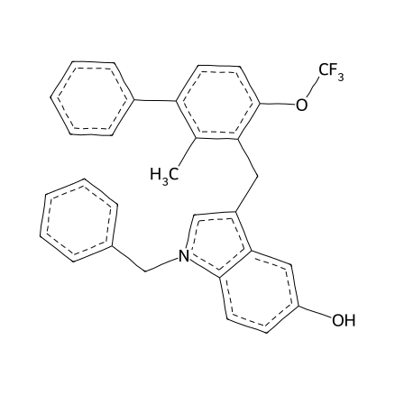 Cc1c(-c2ccccc2)ccc(OC(F)(F)F)c1Cc1cn(Cc2ccccc2)c2ccc(O)cc12